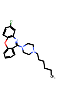 CCCCCCN1CCN(C2=Nc3cc(Cl)ccc3Oc3ccccc32)CC1